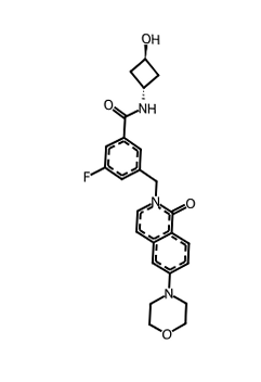 O=C(N[C@H]1C[C@H](O)C1)c1cc(F)cc(Cn2ccc3cc(N4CCOCC4)ccc3c2=O)c1